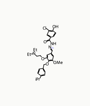 CCN(CC)CCOc1cc(/C=N/NC(=O)c2ccc(O)c(Cl)c2)cc(OC)c1OCc1ccc(C(C)C)cc1